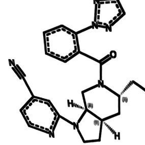 CC[C@@H]1C[C@H]2CCN(c3cc(C#N)ccn3)[C@H]2CN1C(=O)c1ccccc1-n1nccn1